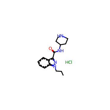 CCCn1nc(C(=O)NC2CCNCC2)c2ccccc21.Cl